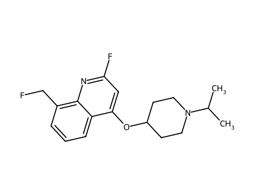 CC(C)N1CCC(Oc2cc(F)nc3c(CF)cccc23)CC1